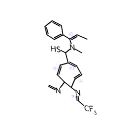 C=NC1\C=C/C(C(S)N(C)/C(=C\C)c2ccccc2)=C\C=C\C1/N=C/C(F)(F)F